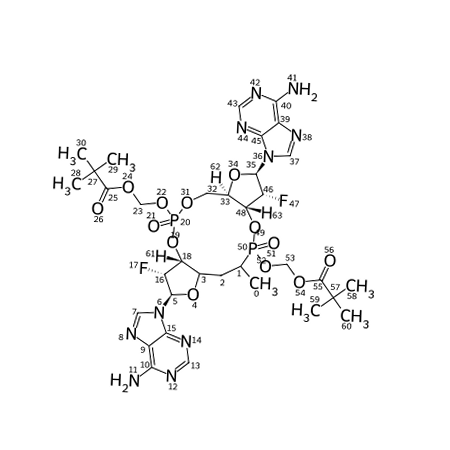 CC1CC2O[C@@H](n3cnc4c(N)ncnc43)[C@H](F)[C@@H]2OP(=O)(OCOC(=O)C(C)(C)C)OC[C@H]2O[C@@H](n3cnc4c(N)ncnc43)[C@H](F)[C@@H]2OP1(=O)OCOC(=O)C(C)(C)C